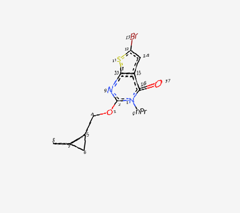 CCCn1c(OCC2CC2C)nc2sc(Br)cc2c1=O